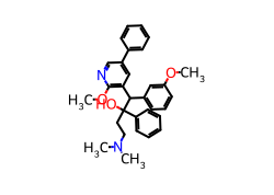 COc1cccc(C(c2cc(-c3ccccc3)cnc2OC)C(O)(CCN(C)C)c2ccccc2)c1